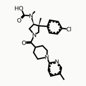 Cc1ccc(N2CCC(C(=O)N3C[C@@H](N(C)C(=O)O)[C@](C)(c4ccc(Cl)cc4)C3)CC2)nc1